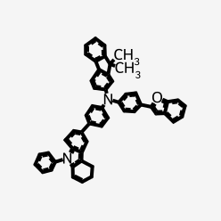 CC1(C)c2ccccc2-c2ccc(N(c3ccc(-c4ccc5c(c4)c4c(n5-c5ccccc5)C=CCC4)cc3)c3ccc(-c4cc5ccccc5o4)cc3)cc21